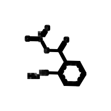 O=C(O[SH](=O)=O)c1ccccc1O.[NaH]